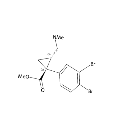 CNC[C@H]1C[C@@]1(C(=O)OC)c1ccc(Br)c(Br)c1